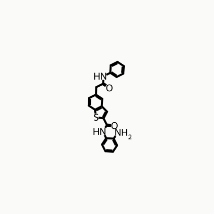 Nc1ccccc1NC(=O)c1cc2cc(CC(=O)Nc3ccccc3)ccc2s1